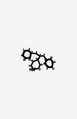 c1ccc(CC(Cc2ccccc2)C2CCNCC2)cc1